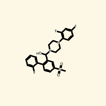 CS(=O)(=O)c1ccc(-c2ccccc2F)c(C(O)N2CCN(c3ccc(F)cc3F)CC2)c1